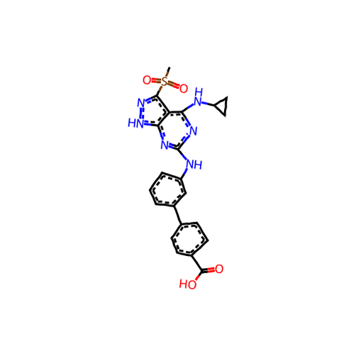 CS(=O)(=O)c1n[nH]c2nc(Nc3cccc(-c4ccc(C(=O)O)cc4)c3)nc(NC3CC3)c12